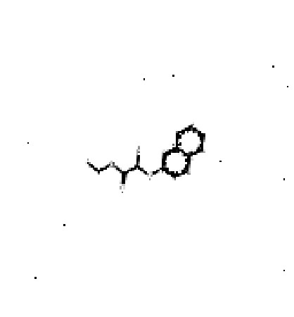 CCOC(=O)C(F)Oc1ccc2ccccc2c1